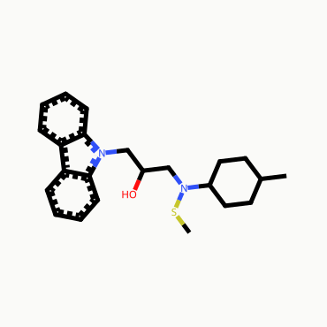 CSN(CC(O)Cn1c2ccccc2c2ccccc21)C1CCC(C)CC1